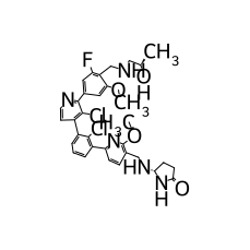 COc1cc(-c2nccc(-c3cccc(-c4ccc(CN[C@@H]5CCC(=O)N5)c(OC)n4)c3Cl)c2Cl)cc(F)c1CNC[C@@H](C)O